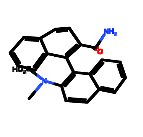 CN(C(=O)O)c1ccc2ccccc2c1-c1c(C(N)=O)ccc2ccccc12